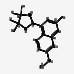 CCOc1cnc2c(B3OC(C)(C)C(C)(C)O3)cc(C)cc2n1